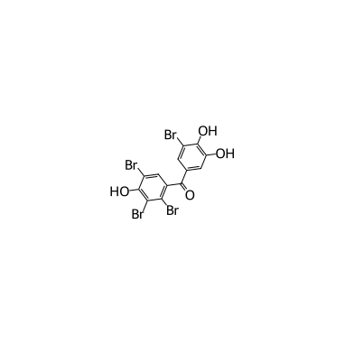 O=C(c1cc(O)c(O)c(Br)c1)c1cc(Br)c(O)c(Br)c1Br